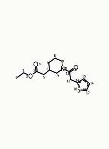 CCOC(=O)CC1CCCN(C(=O)Cc2cccs2)C1